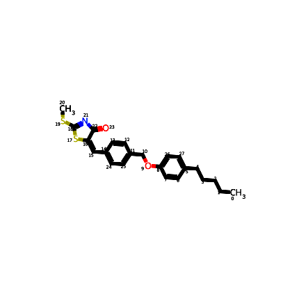 CCCCCc1ccc(OCc2ccc(C=C3SC(SC)=NC3=O)cc2)cc1